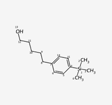 C[Si](C)(C)c1ccc(CCCCCO)cc1